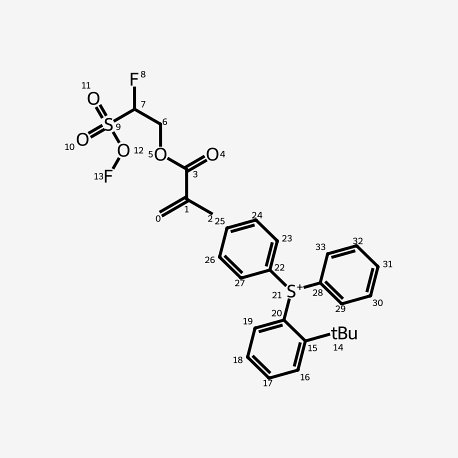 C=C(C)C(=O)OCC(F)S(=O)(=O)OF.CC(C)(C)c1ccccc1[S+](c1ccccc1)c1ccccc1